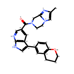 Cc1cn2c(n1)CN(C(=O)c1cnc3[nH]cc(-c4ccc5c(c4)CCCO5)c3c1)CC2